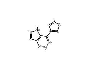 c1cc(-c2nncc3cn[nH]c23)co1